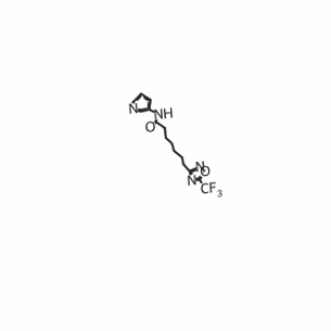 O=C(CCCCCCc1noc(C(F)(F)F)n1)Nc1cccnc1